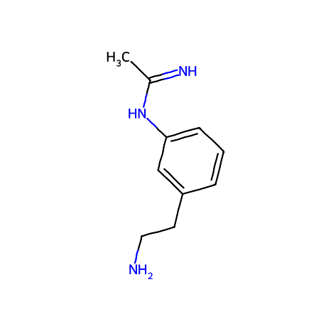 CC(=N)Nc1cccc(CCN)c1